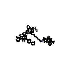 NC(=O)[C@@H]1C[C@@H](Oc2nc(-c3ccc(Cl)cc3)nc3c2sc2ncccc23)CN1C(=O)CCCCCC/C=C\[C@@H]1C[C@@H]1C(=O)NS(=O)(=O)C1CC1